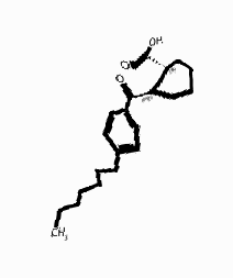 CCCCCCCc1ccc(C(=O)[C@@H]2CCCC[C@H]2C(=O)O)cc1